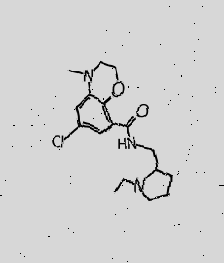 CCN1CCCC1CNC(=O)c1cc(Cl)cc2c1OCCN2C